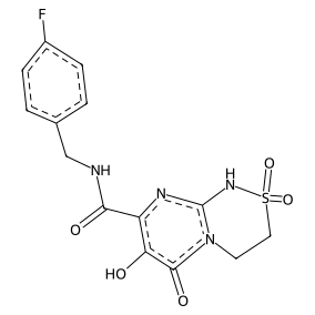 O=C(NCc1ccc(F)cc1)c1nc2n(c(=O)c1O)CCS(=O)(=O)N2